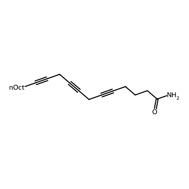 CCCCCCCCC#CCC#CCC#CCCCC(N)=O